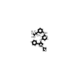 CC(C)(C(=O)O)c1cccc(Nc2cc(Oc3cn(C4COC4)nc3-c3ccccc3)ccn2)c1